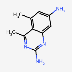 Cc1cc(N)cc2nc(N)nc(C)c12